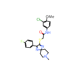 COc1ccc(NC(=O)CSC2=NC3(CCN(C)CC3)N=C2c2ccc(F)cc2)cc1Cl